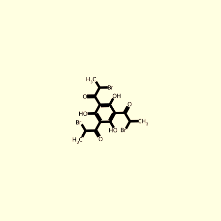 CC(Br)C(=O)c1c(O)c(C(=O)C(C)Br)c(O)c(C(=O)C(C)Br)c1O